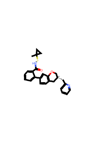 CC1(SNC(=O)c2ccccc2-c2ccc3c(c2)OC[C@H](Cc2ccccn2)C3)CC1